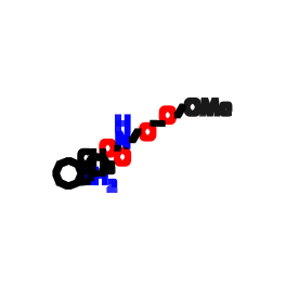 COCCOCCOCCNC(=O)Oc1ccc2c(c1)[C@@]1(C)CCCCCC(C2)[C@@H]1N